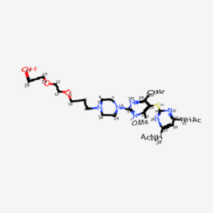 COc1nc(N2CCN(CCCOCCOCCO)CC2)nc(OC)c1Sc1nc(NC(C)=O)cc(NC(C)=O)n1